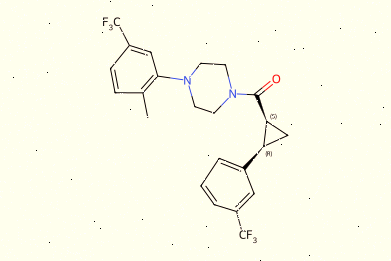 Cc1ccc(C(F)(F)F)cc1N1CCN(C(=O)[C@H]2C[C@H]2c2cccc(C(F)(F)F)c2)CC1